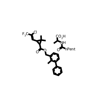 CCCCCC(=O)NC(C)C(=O)O.Cc1c(COC(=O)C2C(/C=C(\Cl)C(F)(F)F)C2(C)C)cccc1-c1ccccc1